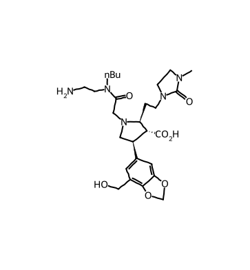 CCCCN(CCN)C(=O)CN1C[C@H](c2cc(CO)c3c(c2)OCO3)[C@@H](C(=O)O)[C@@H]1CCN1CCN(C)C1=O